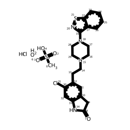 CS(=O)(=O)O.Cl.O.O=C1Cc2cc(CCN3CCN(c4nsc5ccccc45)CC3)c(Cl)cc2N1